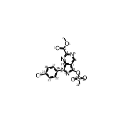 COC(=O)c1ncc2c(OS(C)(=O)=O)nn(-c3ccc(Cl)cc3)c2n1